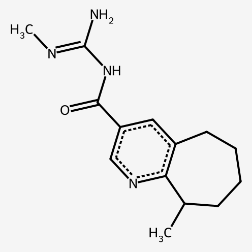 CN=C(N)NC(=O)c1cnc2c(c1)CCCCC2C